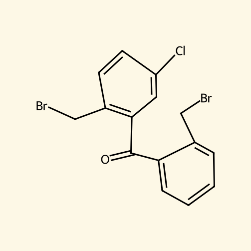 O=C(c1ccccc1CBr)c1cc(Cl)ccc1CBr